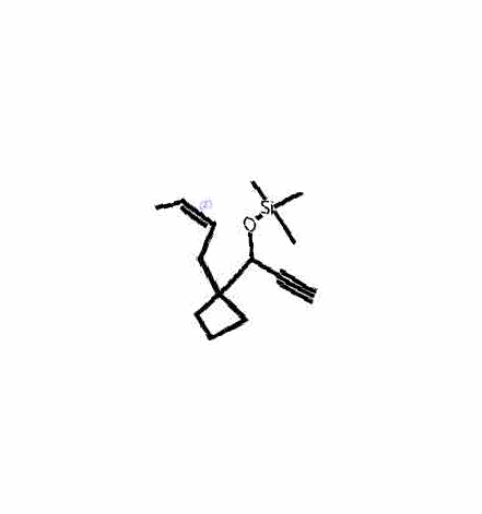 C#CC(O[Si](C)(C)C)C1(C/C=C\C)CCC1